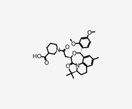 COc1ccc([C@H]2O[C@H](CC(=O)N3CCCC(C(=O)O)C3)C(=O)N3c4c(cc(C)cc42)CC[C@H]3C(C)(C)C)c(OC)c1